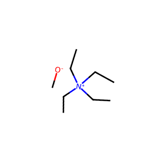 CC[N+](CC)(CC)CC.C[O-]